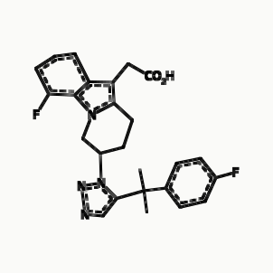 CC(C)(c1ccc(F)cc1)c1cnnn1C1CCc2c(CC(=O)O)c3cccc(F)c3n2C1